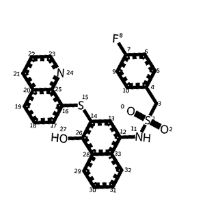 O=S(=O)(Cc1ccc(F)cc1)Nc1cc(Sc2cccc3cccnc23)c(O)c2ccccc12